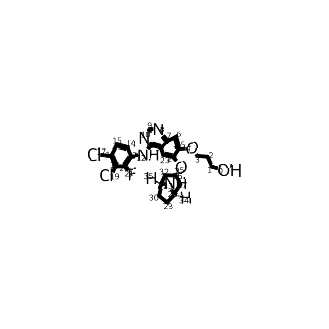 OCCCOc1cc2ncnc(Nc3ccc(Cl)c(Cl)c3F)c2cc1O[C@@H]1C[C@H]2CC[C@@H](C1)N2